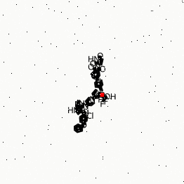 O=C(O)C(F)(F)F.O=C1CCC(N2C(=O)c3ccc(N4CCC(CN5CCC(N6CCC(Nc7ncnc8[nH]cc(C(=O)c9ccc(Oc%10ccccc%10)cc9Cl)c78)CC6)CC5)CC4)cc3C2=O)C(=O)N1